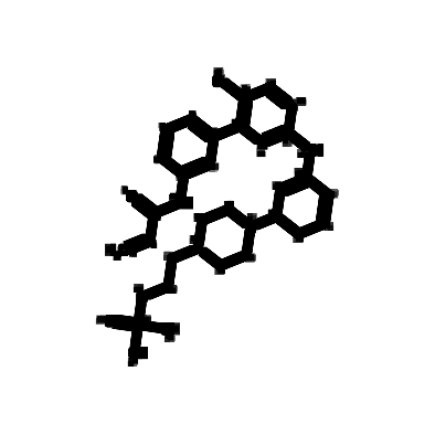 C=CC(=O)Nc1cccc(-c2nc(NC3=CC(N4CCN(CCOP(=O)(O)O)CC4)CC=C3)ncc2Cl)c1